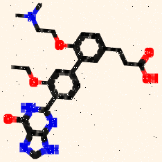 CCOc1cc(-c2cc(CCC(=O)O)ccc2OCCN(C)C)ccc1-c1nc2[nH]cnc2c(=O)[nH]1